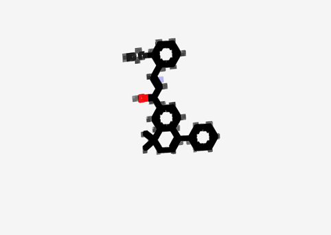 CC1(C)CC=C(c2ccccc2)c2ccc(C(=O)/C=C/c3ccccc3C(=O)O)cc21